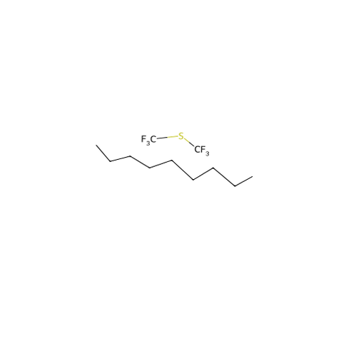 CCCCCCCCC.FC(F)(F)SC(F)(F)F